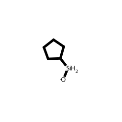 [O][SiH2]C1CCCC1